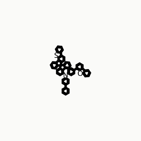 c1ccc(-c2ccc(N(c3ccc(-c4cccc5c4oc4ccccc45)cc3)c3cccc4c3-c3ccccc3C43c4ccccc4-c4c3ccc3c4sc4ccccc43)cc2)cc1